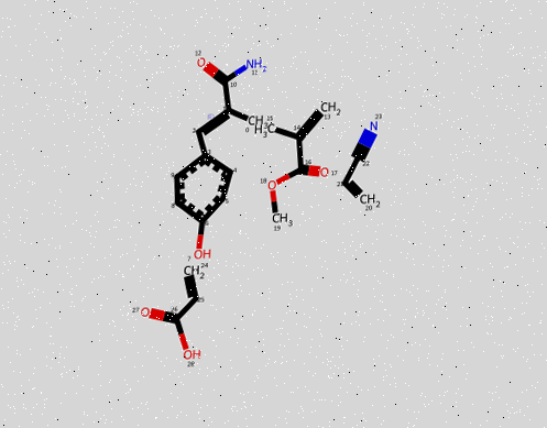 C/C(=C\c1ccc(O)cc1)C(N)=O.C=C(C)C(=O)OC.C=CC#N.C=CC(=O)O